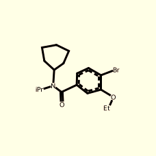 CCOc1cc(C(=O)N(C(C)C)C2CCCCC2)ccc1Br